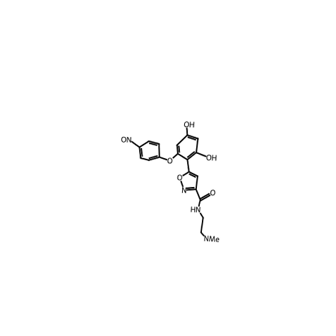 CNCCNC(=O)c1cc(-c2c(O)cc(O)cc2Oc2ccc(N=O)cc2)on1